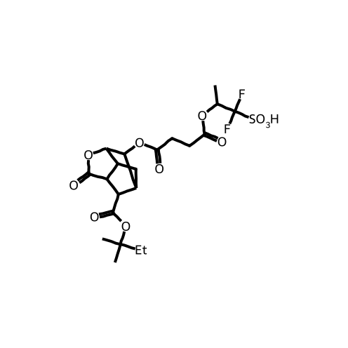 CCC(C)(C)OC(=O)C1C2CC3C(OC(=O)C31)C2OC(=O)CCC(=O)OC(C)C(F)(F)S(=O)(=O)O